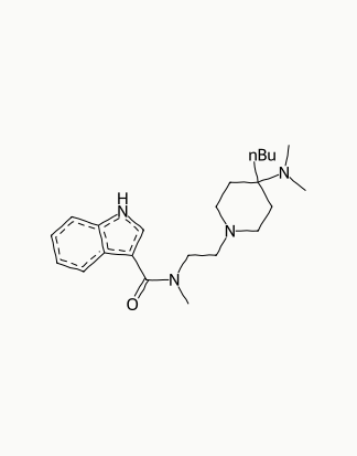 CCCCC1(N(C)C)CCN(CCN(C)C(=O)c2c[nH]c3ccccc23)CC1